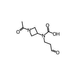 CC(=O)N1CC(N(CCC=O)C(=O)O)C1